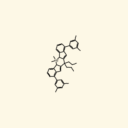 CCCC1(CCC)C2=Cc3c(-c4cc(C)cc(C)c4)cccc3[CH]2[Hf]([CH3])([CH3])[CH]2C1=Cc1c(-c3cc(C)cc(C)c3)cccc12